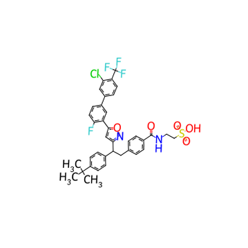 CC(C)(C)c1ccc(C(Cc2ccc(C(=O)NCCS(=O)(=O)O)cc2)c2cc(-c3cc(-c4ccc(C(F)(F)F)c(Cl)c4)ccc3F)on2)cc1